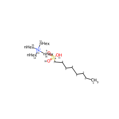 CCCCCCCCS(=O)(=O)O.CCCCCC[N+](CCCCCC)(CCCCCC)CCCCCC